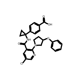 O=C(O)c1ccc(C2(NC(=O)c3cc(Cl)cnc3N3CCC(Oc4ccccc4)C3)CC2)cc1